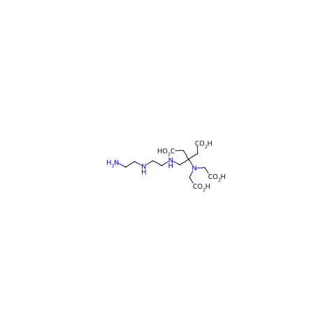 NCCNCCNCC(CC(=O)O)(CC(=O)O)N(CC(=O)O)CC(=O)O